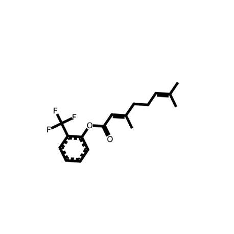 CC(C)=CCC/C(C)=C/C(=O)Oc1ccccc1C(F)(F)F